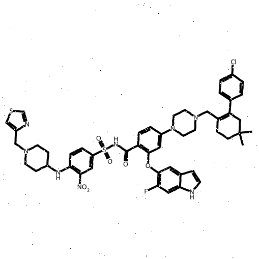 CC1(C)CCC(CN2CCN(c3ccc(C(=O)NS(=O)(=O)c4ccc(NC5CCN(Cc6cscn6)CC5)c([N+](=O)[O-])c4)c(Oc4cc5cc[nH]c5cc4F)c3)CC2)=C(c2ccc(Cl)cc2)C1